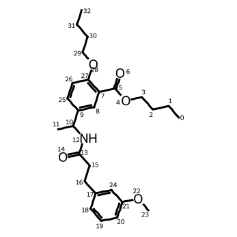 CCCCOC(=O)c1cc(C(C)NC(=O)CCc2cccc(OC)c2)ccc1OCCCC